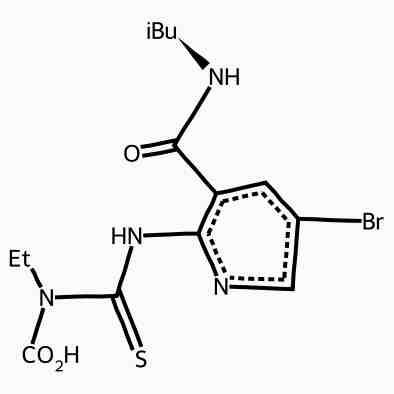 CC[C@H](C)NC(=O)c1cc(Br)cnc1NC(=S)N(CC)C(=O)O